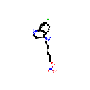 O=[N+]([O-])OCCCCCNc1ccnc2cc(Cl)ccc12